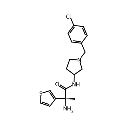 C[C@](N)(C(=O)NC1CCN(Cc2ccc(Cl)cc2)C1)c1ccsc1